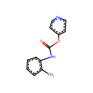 Cc1ccccc1NC(=O)Oc1ccncc1